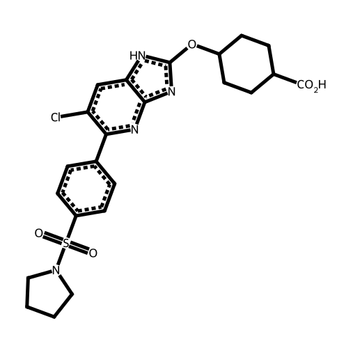 O=C(O)C1CCC(Oc2nc3nc(-c4ccc(S(=O)(=O)N5CCCC5)cc4)c(Cl)cc3[nH]2)CC1